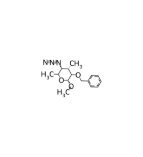 CO[C@H]1OC(C)[C@@H](N=[N+]=[N-])[C@H](C)C1OCc1ccccc1